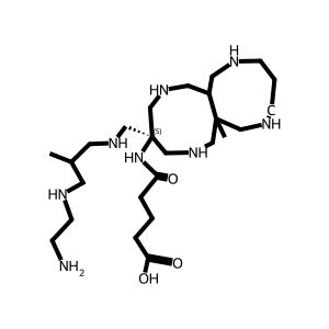 CC(CNCCN)CNC[C@]1(NC(=O)CCCC(=O)O)CNCC2CNCCCNCC2(C)CNC1